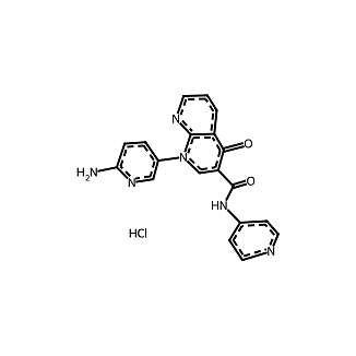 Cl.Nc1ccc(-n2cc(C(=O)Nc3ccncc3)c(=O)c3cccnc32)cn1